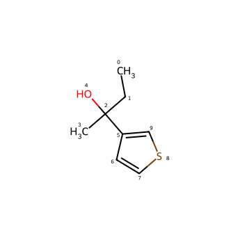 CCC(C)(O)c1ccsc1